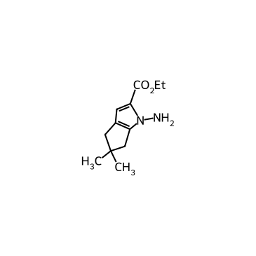 CCOC(=O)c1cc2c(n1N)CC(C)(C)C2